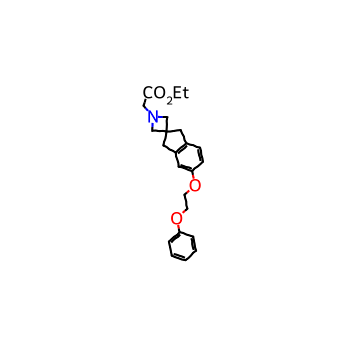 CCOC(=O)CN1CC2(Cc3ccc(OCCOc4ccccc4)cc3C2)C1